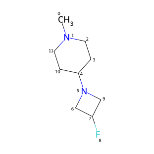 CN1CCC(N2CC(F)C2)CC1